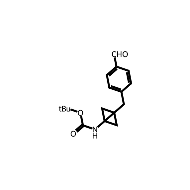 CC(C)(C)OC(=O)NC12CC1(Cc1ccc(C=O)cc1)C2